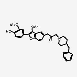 COc1cc(-c2oc3ccc(CC(=O)CN4CCC(Cc5ccccc5)CC4)cc3c2SC)ccc1O